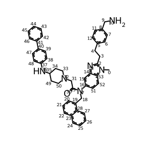 Cn1c(CCc2ccc(CN)cc2)nc2cc(N(Cc3cccc4ccccc34)C(=O)CN3CCC(Nc4ccc(-c5ccccc5)cc4)CC3)ccc21